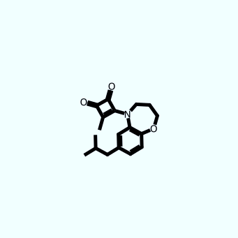 Cc1c(N2CCCOc3ccc(CC(C)C)cc32)c(=O)c1=O